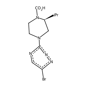 CC(C)[C@H]1CN(c2ncc(Br)nn2)CCN1C(=O)O